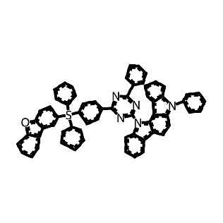 c1ccc(-c2nc(-c3ccc(S(c4ccccc4)(c4ccccc4)c4ccc5oc6ccccc6c5c4)cc3)nc(-n3c4ccccc4c4ccc5c(c6ccccc6n5-c5ccccc5)c43)n2)cc1